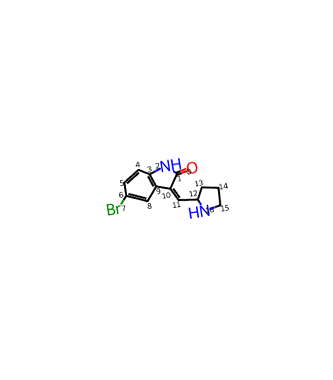 O=C1Nc2ccc(Br)cc2C1=CC1CCCN1